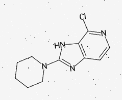 Clc1nccc2nc(N3CCCCC3)[nH]c12